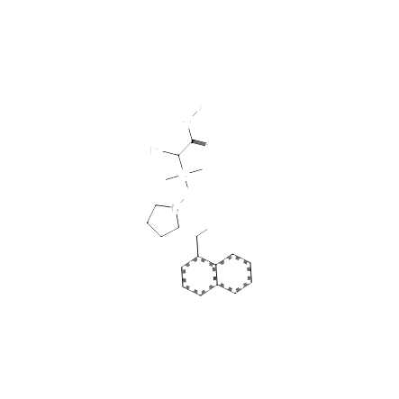 CC(C)C(C(=O)OC(C)(C)C)[Si](C)(C)ON1CCC[C@H]1C(O)c1cccc2ccccc12